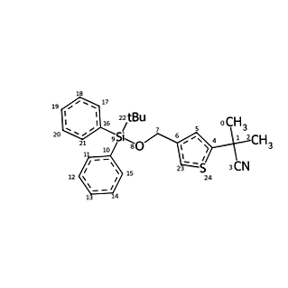 CC(C)(C#N)c1cc(CO[Si](c2ccccc2)(c2ccccc2)C(C)(C)C)cs1